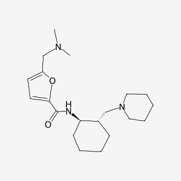 CN(C)Cc1ccc(C(=O)N[C@@H]2CCCC[C@H]2CN2CCCCC2)o1